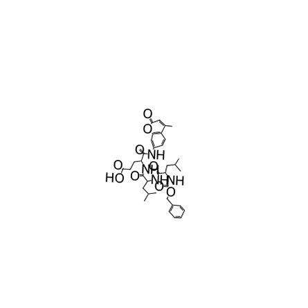 Cc1cc(=O)oc2cc(NC(=O)C(CCC(=O)O)NC(=O)C(CC(C)C)NC(=O)C(CC(C)C)NC(=O)OCc3ccccc3)ccc12